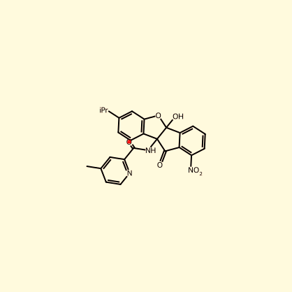 Cc1ccnc(C(=O)NC23C(=O)c4c([N+](=O)[O-])cccc4C2(O)Oc2cc(C(C)C)ccc23)c1